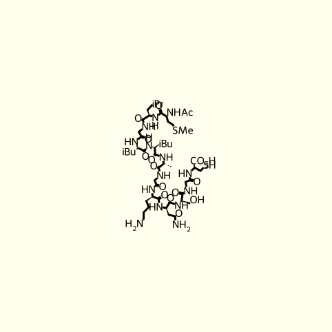 CC[C@@H](C)[C@@H](NC(=O)CNC(=O)[C@@H](CC(C)C)NC(=O)[C@@H](CCSC)NC(C)=O)C(=O)N[C@@H](C(=O)N[C@H](C)C(=O)NCC(=O)N[C@H](CCCCN)C(=O)N[C@H](CC(N)=O)C(=O)N[C@H](CO)C(=O)NCC(=O)N[C@H](CS)C(=O)O)[C@H](C)CC